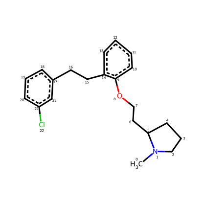 CN1CCCC1CCOc1ccccc1CCc1cccc(Cl)c1